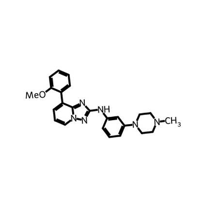 COc1ccccc1-c1cccn2nc(Nc3cccc(N4CCN(C)CC4)c3)nc12